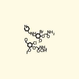 CCOc1cc(C=O)cc(Cl)c1OCC(N)=O.COc1cc(CNCc2ccncc2)cc(Br)c1OCC(N)=O.Cl